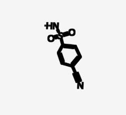 N#Cc1ccc(S([NH])(=O)=O)cc1